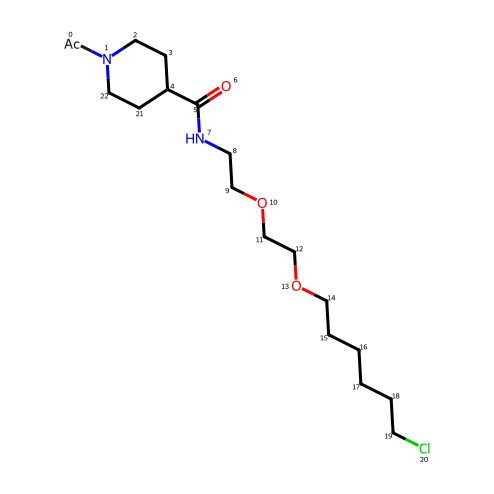 CC(=O)N1CCC(C(=O)NCCOCCOCCCCCCCl)CC1